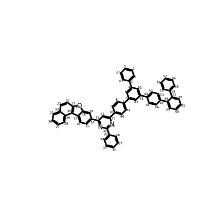 c1ccc(-c2cc(-c3ccc(-c4cc(-c5ccc6c(c5)oc5ccc7ccccc7c56)nc(-c5ccccc5)n4)cc3)cc(-c3ccc(-c4ccccc4-c4ccccc4)cc3)c2)cc1